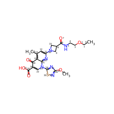 CCOCCNC(=O)C1CN(c2cc(C)c3c(=O)c(C(=O)O)cn(-c4nc(OC)ns4)c3n2)C1